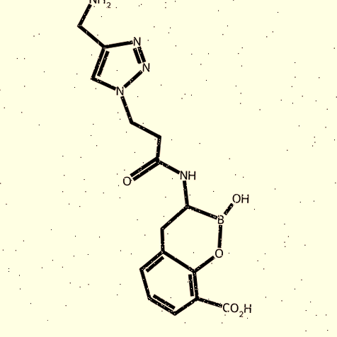 NCc1cn(CCC(=O)NC2Cc3cccc(C(=O)O)c3OB2O)nn1